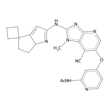 CC(=O)Nc1cc(Oc2cnc3nc(NC4=NC5CCC6(CCC6)C5=C4)n(C)c3c2C#N)ccn1